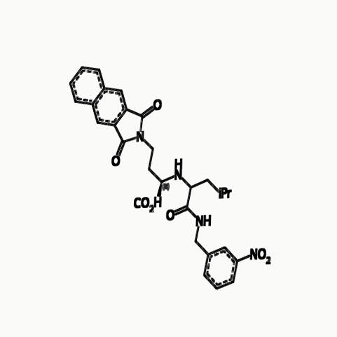 CC(C)CC(N[C@H](CCN1C(=O)c2cc3ccccc3cc2C1=O)C(=O)O)C(=O)NCc1cccc([N+](=O)[O-])c1